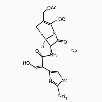 CC(=O)OCC1=C(C(=O)[O-])N2C(=O)[C@@H](NC(=O)/C(=N\O)c3c[se]c(N)n3)[C@H]2SC1.[Na+]